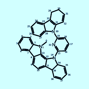 Cn1c2ccccc2c2ccc3c(c21)N(c1cccc(-n2c4c(c5ccccc52)CCC=C4)n1)C1C=CC=CC31